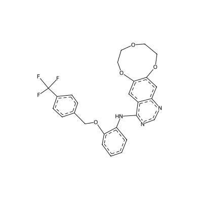 FC(F)(F)c1ccc(COc2ccccc2Nc2ncnc3cc4c(cc23)OCCOCCO4)cc1